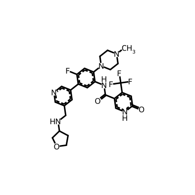 CN1CCN(c2cc(F)c(-c3cncc(CNC4CCOC4)c3)cc2NC(=O)c2c[nH]c(=O)cc2C(F)(F)F)CC1